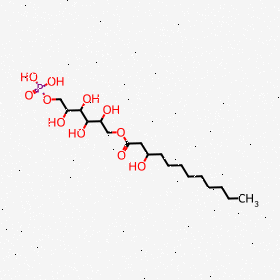 CCCCCCCCCC(O)CC(=O)OCC(O)C(O)C(O)C(O)COP(=O)(O)O